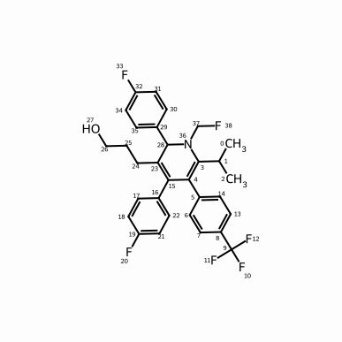 CC(C)C1=C(c2ccc(C(F)(F)F)cc2)C(c2ccc(F)cc2)=C(CCCO)C(c2ccc(F)cc2)N1CF